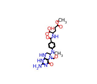 COC(=O)CCC(NC(=O)c1ccc(N(C)[C@@H]2CNc3[nH]c(N)nc(=O)c3N2C=O)cc1)C(=O)O